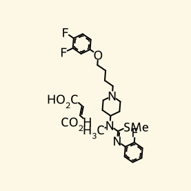 CSC(=Nc1ccccc1F)N(C)C1CCN(CCCCOc2ccc(F)c(F)c2)CC1.O=C(O)/C=C/C(=O)O